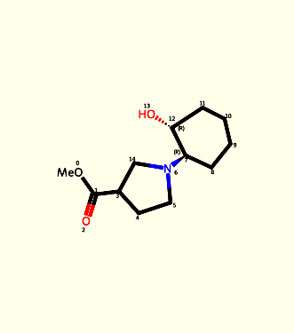 COC(=O)C1CCN([C@@H]2CCCC[C@H]2O)C1